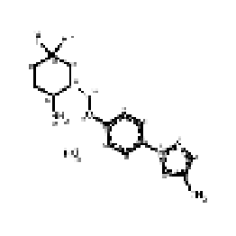 Cc1cnn(-c2ccc(OC[C@H]3CC(F)(F)CC[C@@H]3N)cc2)c1.Cl